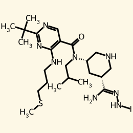 CSCCCNc1nc(C(C)(C)C)ncc1C(=O)N(CC(C)C)[C@@H]1CNC[C@H](/C(N)=N/NI)C1